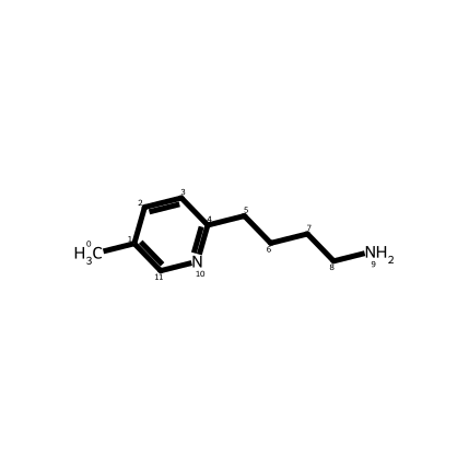 Cc1ccc(CCCCN)nc1